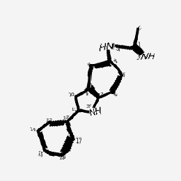 CC(=N)Nc1ccc2c(c1)CC(c1ccccc1)N2